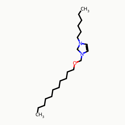 CCCCCCCCCCCOCN1C=CN(CCCCCC)C1